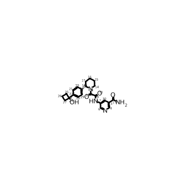 NC(=O)c1cncc(NC(=O)C(=O)N2CCCC[C@H]2c2ccc(C3(O)CCC3)cc2)c1